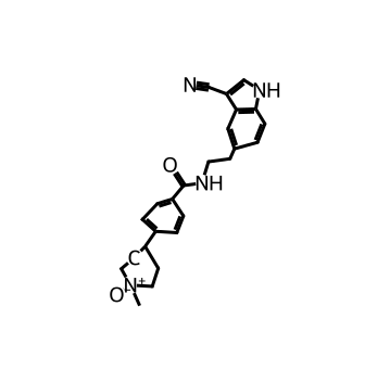 C[N+]1([O-])CCC(c2ccc(C(=O)NCCc3ccc4[nH]cc(C#N)c4c3)cc2)CC1